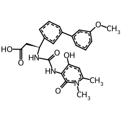 COc1cccc(-c2cccc([C@H](CC(=O)O)NC(=O)Nc3c(O)cc(C)n(C)c3=O)c2)c1